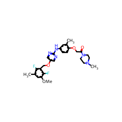 COc1cc(C)c(F)c(COc2cnc(Nc3ccc(OCC(=O)N4CCN(C)CC4)c(C)c3)nc2)c1F